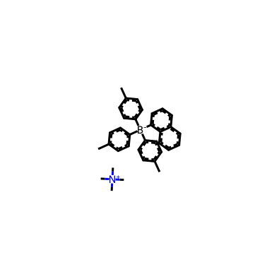 C[N+](C)(C)C.Cc1ccc([B-](c2ccc(C)cc2)(c2ccc(C)cc2)c2cccc3ccccc23)cc1